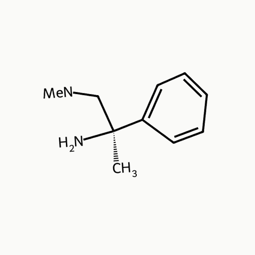 CNC[C@](C)(N)c1ccccc1